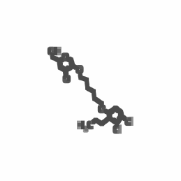 CCCc1c(OCCCCCCOc2coc(CO)cc2=O)ccc(Cl)c1Cl